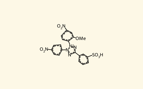 COc1cc([N+](=O)[O-])ccc1-[n+]1nc(-c2cccc(S(=O)(=O)O)c2)nn1-c1ccc([N+](=O)[O-])cc1